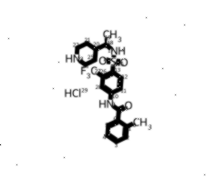 Cc1ccccc1C(=O)Nc1ccc(S(=O)(=O)N[C@H](C)C2CCNCC2)c(C(F)(F)F)c1.Cl